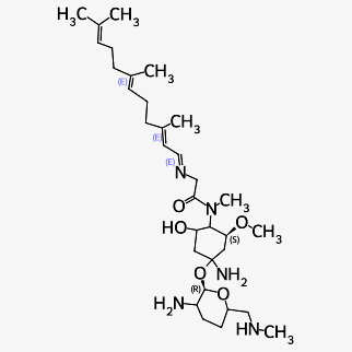 CNCC1CCC(N)[C@@H](OC2(N)CC(O)C(N(C)C(=O)C/N=C/C=C(\C)CC/C=C(\C)CCC=C(C)C)[C@@H](OC)C2)O1